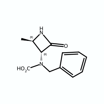 C[C@H]1NC(=O)[C@@H]1N(Cc1ccccc1)C(=O)O